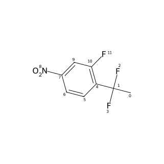 CC(F)(F)c1ccc([N+](=O)[O-])cc1F